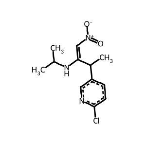 CC(C)NC(=C[N+](=O)[O-])C(C)c1ccc(Cl)nc1